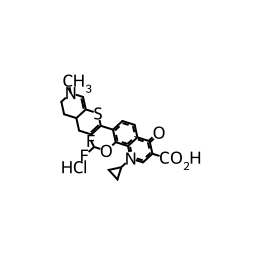 CN1C=C2SC(c3ccc4c(=O)c(C(=O)O)cn(C5CC5)c4c3OC(F)F)=CCC2CC1.Cl